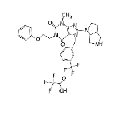 Cn1c(=O)n(CCOc2ccccc2)c(=O)c2c1nc(N1CCC3CNCC31)n2Cc1cccc(C(F)(F)F)c1.O=C(O)C(F)(F)F